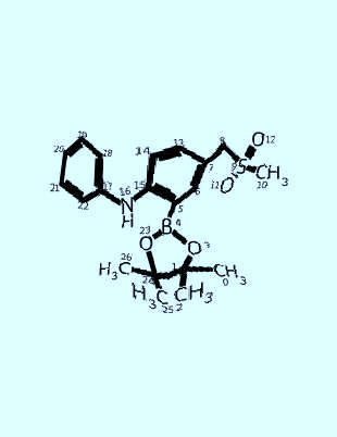 CC1(C)OB(c2cc(CS(C)(=O)=O)ccc2Nc2ccccc2)OC1(C)C